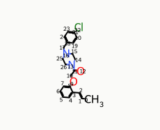 CC=Cc1ccccc1OCC(=O)N1CCN(Cc2ccc(Cl)cc2)CC1